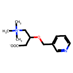 C[N+](C)(C)CC(CC(=O)[O-])OCc1cccnc1